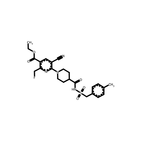 CCOC(=O)c1cc(C#N)c(N2CCC(C(=O)NS(=O)(=O)Cc3ccc(C)cc3)CC2)nc1CF